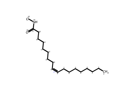 CCCCCCCC/C=C\CCCCCCCC(=O)NCl